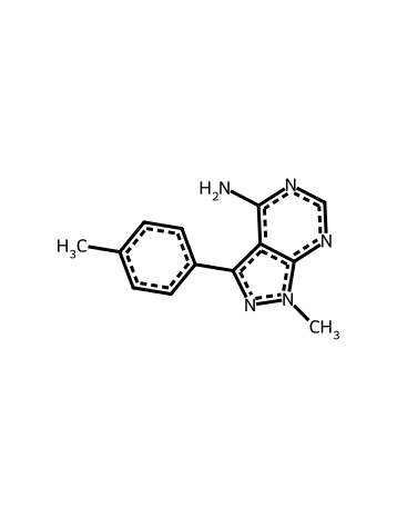 Cc1ccc(-c2nn(C)c3ncnc(N)c23)cc1